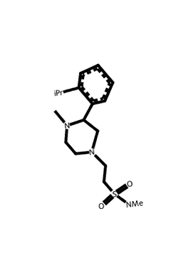 CNS(=O)(=O)CCN1CCN(C)C(c2ccccc2C(C)C)C1